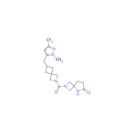 Cn1nc(C(F)(F)F)cc1CC1CC2(C1)CN(C(=O)N1CC3(CCC(=O)N3)C1)C2